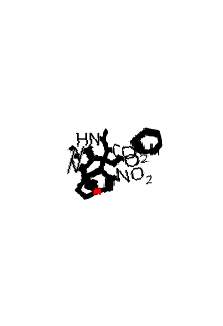 CC1=C(C(=O)O)C(CCOc2ccccc2)(c2ccccc2[N+](=O)[O-])c2c(C3CCCC3)nn(C)c2N1